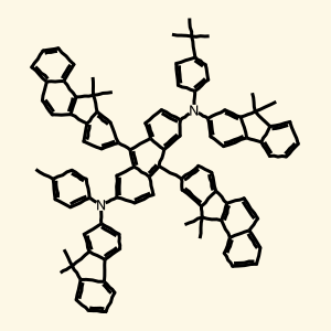 Cc1ccc(N(c2ccc3c(c2)C(C)(C)c2ccccc2-3)c2ccc3c(-c4ccc5c(c4)C(C)(C)c4c-5ccc5ccccc45)c4cc(N(c5ccc(C(C)(C)C)cc5)c5ccc6c(c5)C(C)(C)c5ccccc5-6)ccc4c(-c4ccc5c(c4)C(C)(C)c4c-5ccc5ccccc45)c3c2)cc1